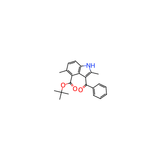 Cc1ccc2[nH]c(C)c(C(=O)c3ccccc3)c2c1C(=O)OC(C)(C)C